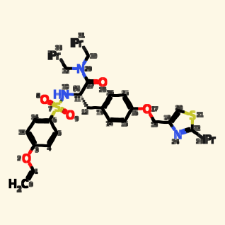 C=COc1ccc(S(=O)(=O)N[C@@H](Cc2ccc(OCc3csc(C(C)C)n3)cc2)C(=O)N(CC(C)C)CC(C)C)cc1